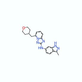 Cc1n[nH]c2cc(Nc3nc4cccc(CC5CCOCC5)n4n3)ccc12